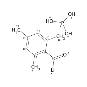 OP(O)O.[Li][C](=O)c1c(C)cc(C)cc1C